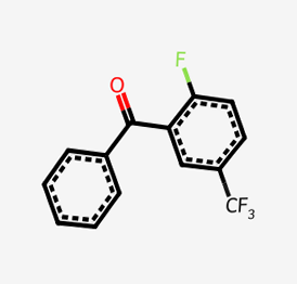 O=C(c1ccccc1)c1cc(C(F)(F)F)ccc1F